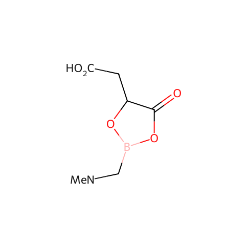 CNCB1OC(=O)C(CC(=O)O)O1